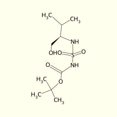 CC(C)[C@H](CO)NS(=O)(=O)NC(=O)OC(C)(C)C